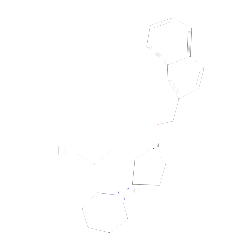 O=CCC[C@H]1[C@H](N2CCCCC2)CC[C@H]1OCc1ccc2ccccc2c1